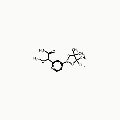 COC(C(N)=O)c1cc(B2OC(C)(C)C(C)(C)O2)ccn1